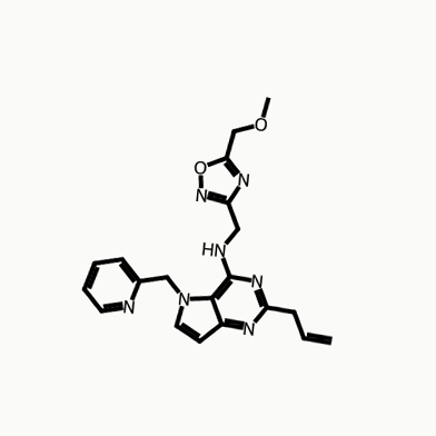 C=CCc1nc(NCc2noc(COC)n2)c2c(ccn2Cc2ccccn2)n1